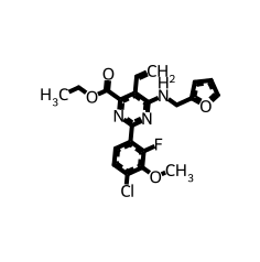 C=Cc1c(NCc2ccco2)nc(-c2ccc(Cl)c(OC)c2F)nc1C(=O)OCC